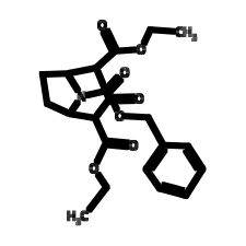 CCOC(=O)C1C(=O)C(C(=O)OCC)C2CCC1N2C(=O)OCc1ccccc1